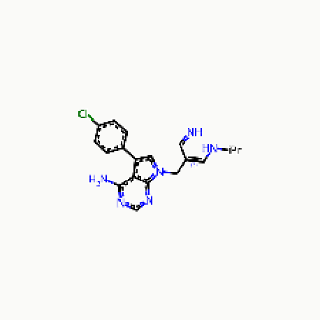 CC(C)N/C=C(\C=N)Cn1cc(-c2ccc(Cl)cc2)c2c(N)ncnc21